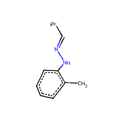 Cc1ccccc1NN=CC(C)C